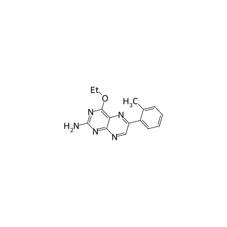 CCOc1nc(N)nc2ncc(-c3ccccc3C)nc12